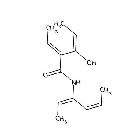 C/C=C\C(=C/C)NC(=O)C(=C/C)/C(O)=C\C